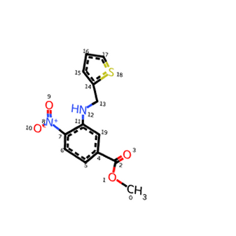 COC(=O)c1ccc([N+](=O)[O-])c(NCc2cccs2)c1